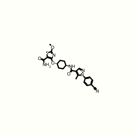 COc1nc(O[C@H]2CC[C@H](NC(=O)c3cnn(-c4ccc(C#N)cc4)c3C)CC2)c(C(N)=O)s1